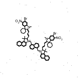 CN1/C(=C/C=C/C2=[N+](Cc3cccc4c(C[N+]5=C(/C=C/C=C6/N(C)c7cc(Br)c([N+](=O)[O-])cc7C67CCCCC7)C(C)(C)c6c5ccc5ccccc65)cccc34)c3ccc4ccccc4c3C2(C)C)C2(CCCCC2)c2cc([N+](=O)[O-])c(Br)cc21